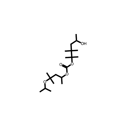 CC(O)CC(C)(C)C(C)(C)OC(=O)OC(C)CC(C)(C)OC(C)C